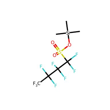 C[Si](C)(C)OS(=O)(=O)C(F)(F)C(F)(F)C(F)(F)C(F)(F)F